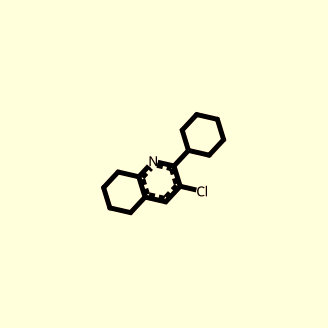 Clc1cc2c(nc1C1CCCCC1)CCCC2